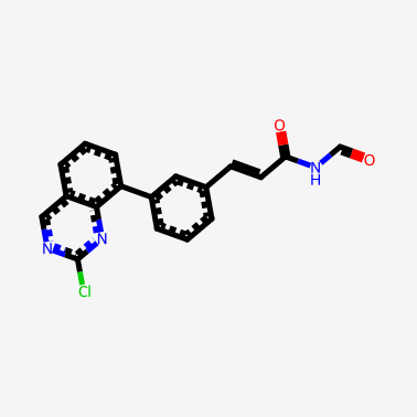 O=CNC(=O)C=Cc1cccc(-c2cccc3cnc(Cl)nc23)c1